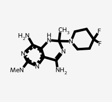 CNc1nc(N)c2c(n1)C(N)=NC(C)(N1CCC(F)(F)CC1)N2